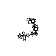 O=C(NC1CN(C2CN(C(=O)c3ccc4nc(-c5cccc(C(F)(F)F)c5)oc4c3)C2)C1)c1nccs1